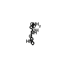 Cc1c(C(O)CNCCOc2ccc3c(c2)[nH]c2ccccc23)cccc1S(N)(=O)=O